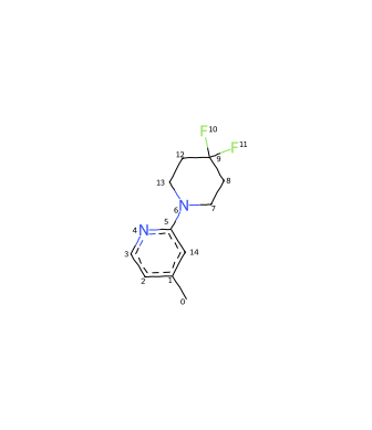 Cc1ccnc(N2CCC(F)(F)CC2)c1